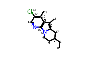 CCC1CCn2c(c(C)c3c(C)c(Cl)cnc32)C1